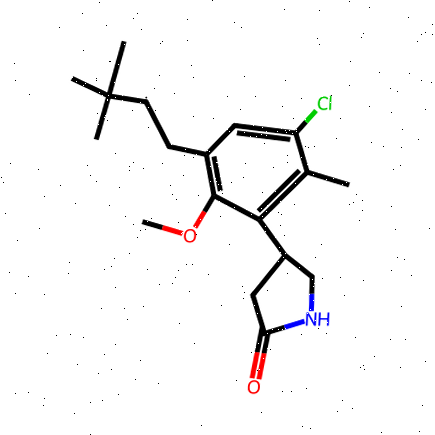 COc1c(C[CH]C(C)(C)C)cc(Cl)c(C)c1C1CNC(=O)C1